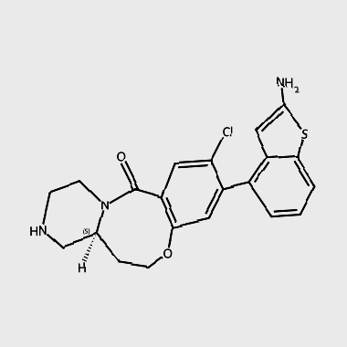 Nc1cc2c(-c3cc4c(cc3Cl)C(=O)N3CCNC[C@@H]3CCO4)cccc2s1